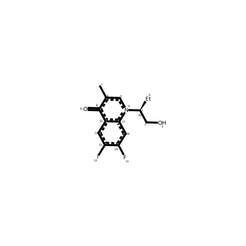 CC[C@@H](CO)n1cc(C)c(=O)c2cc(I)c(F)cc21